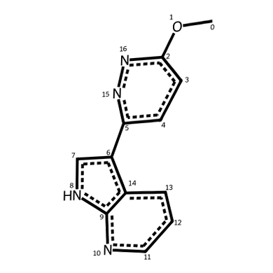 COc1ccc(-c2c[nH]c3ncccc23)nn1